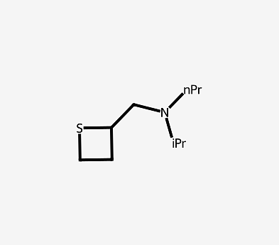 CCCN(CC1CCS1)C(C)C